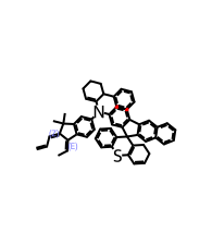 C=C/C=C1\C(=C/C)c2ccc(N(C3=CCCCC3c3ccccc3)c3ccc4c(c3)C3(C5=C(C=CCC5)Sc5ccccc53)c3cc5ccccc5cc3-4)cc2C1(C)C